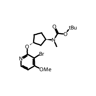 COc1ccnc(O[C@@H]2CC[C@@H](N(C)C(=O)OC(C)(C)C)C2)c1Br